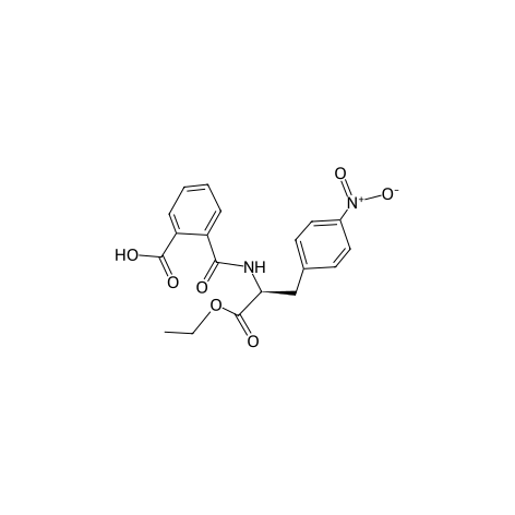 CCOC(=O)[C@H](Cc1ccc([N+](=O)[O-])cc1)NC(=O)c1ccccc1C(=O)O